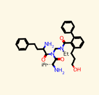 CCN(CN(C(=O)C(N)CCc1ccccc1)C(=O)[C@H](N)C(C)C)C(=O)c1c(CCCO)cccc1-c1ccccc1